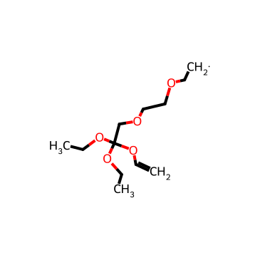 [CH2]COCCOCC(OC=C)(OCC)OCC